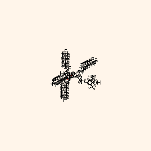 CC(C)(C)c1cc(CCC(=O)OCC(COCC(CO)(CSC(F)CC(F)(F)C(F)(F)C(F)(F)C(F)(F)C(F)(F)C(F)(F)F)CSC(F)CC(F)(F)C(F)(F)C(F)(F)C(F)(F)C(F)(F)C(F)(F)F)(CSC(F)CC(F)(F)C(F)(F)C(F)(F)C(F)(F)C(F)(F)C(F)(F)F)CSC(F)CC(F)(F)C(F)(F)C(F)(F)C(F)(F)C(F)(F)C(F)(F)F)cc(C(C)(C)C)c1O